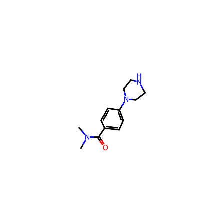 CN(C)C(=O)c1ccc(N2CCNCC2)cc1